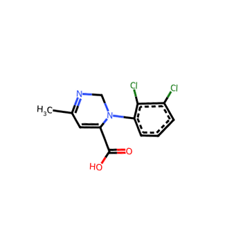 CC1=NCN(c2cccc(Cl)c2Cl)C(C(=O)O)=C1